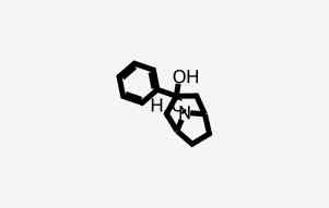 CN1C2CCC1CC(O)(c1ccccc1)C2